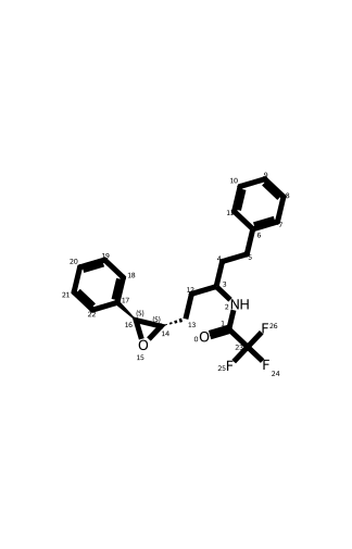 O=C(NC(CCc1ccccc1)CC[C@@H]1O[C@H]1c1ccccc1)C(F)(F)F